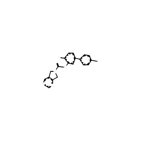 Nc1ccc(-c2ccc(F)cc2)cc1NC(=O)N1Cc2cncnc2C1